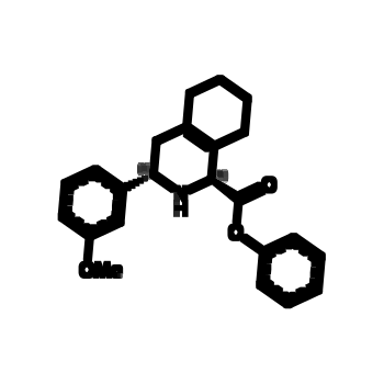 COc1cccc([C@@H]2CC3=C(CCCC3)[C@@H](C(=O)Oc3ccccc3)N2)c1